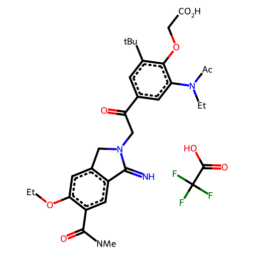 CCOc1cc2c(cc1C(=O)NC)C(=N)N(CC(=O)c1cc(N(CC)C(C)=O)c(OCC(=O)O)c(C(C)(C)C)c1)C2.O=C(O)C(F)(F)F